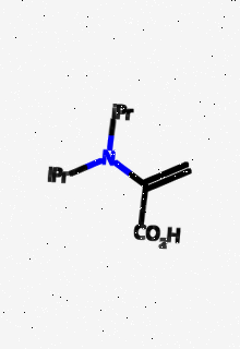 C=C(C(=O)O)N(C(C)C)C(C)C